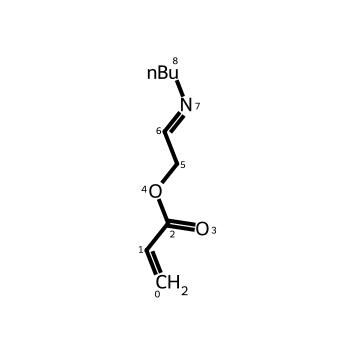 C=CC(=O)OCC=NCCCC